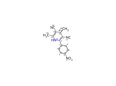 [C-]#[N+]C1=C(c2ccc([N+](=O)[O-])cc2)NC(C)=C(C#N)[C@H]1C